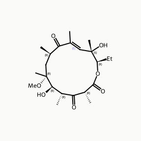 CC[C@H]1OC(=O)[C@H](C)C(=O)[C@H](C)[C@@H](O)[C@](C)(OC)C[C@@H](C)C(=O)/C(C)=C/[C@]1(C)O